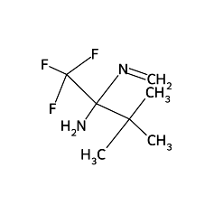 C=NC(N)(C(C)(C)C)C(F)(F)F